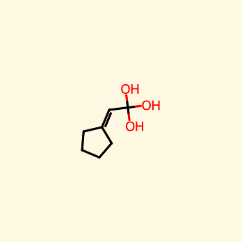 OC(O)(O)C=C1CCCC1